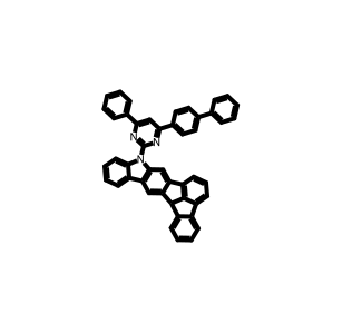 c1ccc(-c2ccc(-c3cc(-c4ccccc4)nc(-n4c5ccccc5c5cc6c(cc54)-c4cccc5c4C6c4ccccc4-5)n3)cc2)cc1